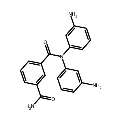 NC(=O)c1cccc(C(=O)N(c2cccc(N)c2)c2cccc(N)c2)c1